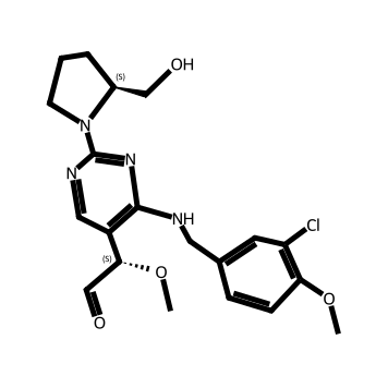 COc1ccc(CNc2nc(N3CCC[C@H]3CO)ncc2[C@@H](C=O)OC)cc1Cl